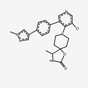 CC1NC(=O)OC12CCN(c1c(Cl)cncc1-c1ccc(-c3cnn(C)c3)cc1)CC2